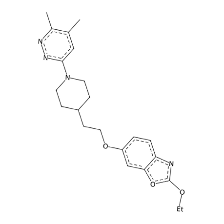 CCOc1nc2ccc(OCCC3CCN(c4cc(C)c(C)nn4)CC3)cc2o1